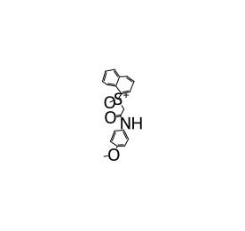 COc1ccc(NC(=O)C[S+]([O-])c2cccc3ccccc23)cc1